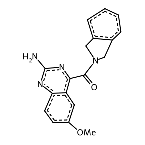 COc1ccc2nc(N)nc(C(=O)N3Cc4ccccc4C3)c2c1